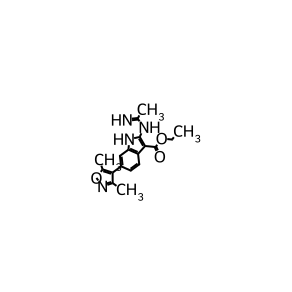 CCOC(=O)c1c(NC(C)=N)[nH]c2cc(-c3c(C)noc3C)ccc12